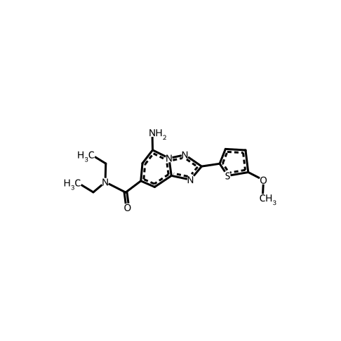 CCN(CC)C(=O)c1cc(N)n2nc(-c3ccc(OC)s3)nc2c1